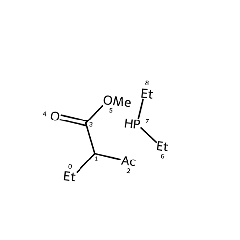 CCC(C(C)=O)C(=O)OC.CCPCC